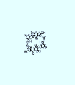 O=C(O)CNC(=O)c1cc(Cl)c(OCc2cc(F)cc(NCC3CC3)c2)c(Cl)c1.O=C(O)Cc1cc(Br)c(OCc2cc(F)cc(NCC3CC3)c2)c(Br)c1